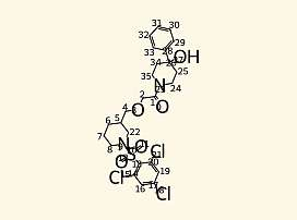 O=C(COCC1CCCN(S(=O)(=O)c2c(Cl)cc(Cl)cc2Cl)C1)N1CCC(O)(c2ccccc2)CC1